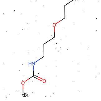 CC(C)(C)OC(=O)NCCCOCCC#N